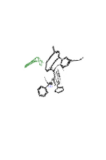 C/[C](c1ccccc1)=[Ti+2](/[C]1=CC=CC1)[CH]1c2ccc(C)cc2-c2cc(C)ccc21.[Cl-].[Cl-]